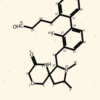 CC1CC2(COCC(=O)N2)C(Cc2cccc(-c3ccccc3CCCC=O)c2F)N1C